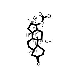 CCC(=O)O[C@]1(C(C)=O)[C@@H](C)C[C@H]2[C@@H]3CC[C@@H]4CC(=O)CC[C@]4(C)[C@@]3(F)[C@@H](O)C[C@@]21C